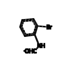 O=[C]Nc1ccccc1Br